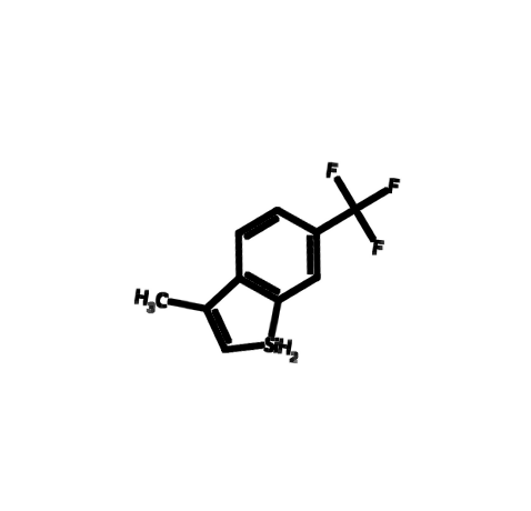 CC1=C[SiH2]c2cc(C(F)(F)F)ccc21